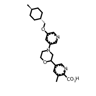 Cc1cc(C2CN(c3cncc(OC[C@H]4CC[C@H](C)CC4)c3)CCO2)cnc1C(=O)O